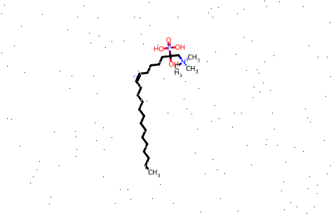 CCCCCCCCCCCCC/C=C\CCCCC(O)(C[N+](C)(C)C)P(=O)(O)O